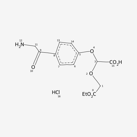 CCOC(=O)COC(Oc1ccc(C(=O)CN)cc1)C(=O)O.Cl